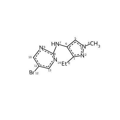 CCc1nn(C)cc1Nc1ncc(Br)cn1